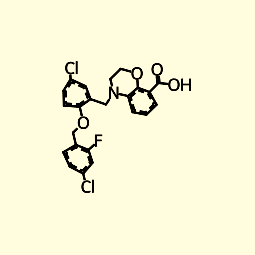 O=C(O)c1cccc2c1OCCN2Cc1cc(Cl)ccc1OCc1ccc(Cl)cc1F